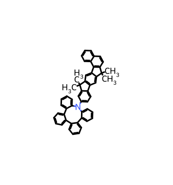 CC1(C)c2cc(-n3c4ccccc4c4ccccc4c4ccccc4c4ccccc43)ccc2-c2cc3c(cc21)-c1c(ccc2ccccc12)C3(C)C